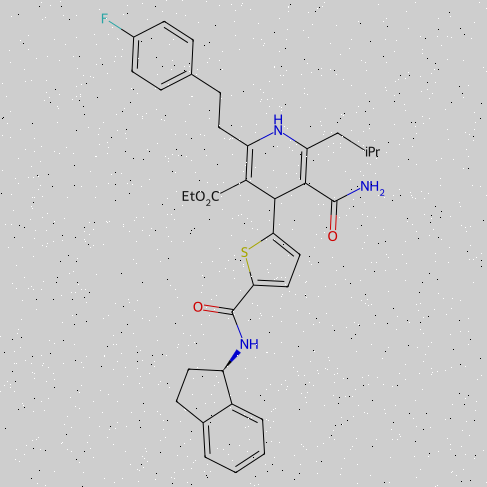 CCOC(=O)C1=C(CCc2ccc(F)cc2)NC(CC(C)C)=C(C(N)=O)C1c1ccc(C(=O)N[C@@H]2CCc3ccccc32)s1